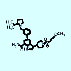 COCCCS(=O)(=O)N1CCC(c2c[nH]c3c(C(N)=O)cc(-c4cccc(CN5CCCC5C(C)C)c4)cc23)CC1